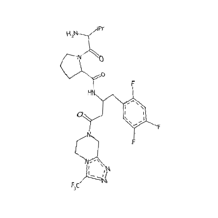 CC(C)C(N)C(=O)N1CCCC1C(=O)NC(CC(=O)N1CCn2c(nnc2C(F)(F)F)C1)Cc1cc(F)c(F)cc1F